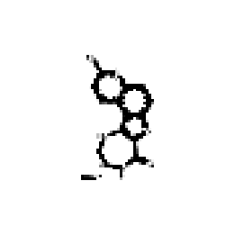 CC[C@@H]1CNc2c(sc3ccc4nc(Cl)ccc4c23)C(=O)N1